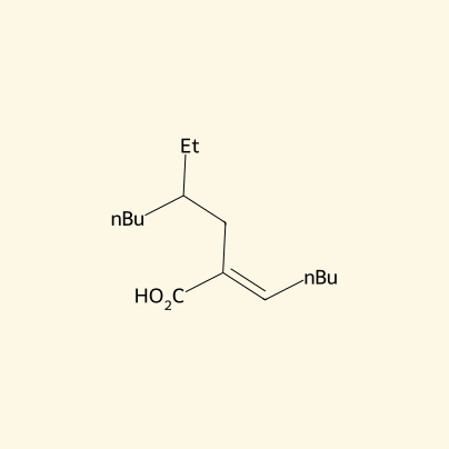 CCCCC=C(CC(CC)CCCC)C(=O)O